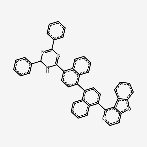 c1ccc(C2=NC(c3ccccc3)NC(c3ccc(-c4ccc(-c5nccc6oc7ccccc7c56)c5ccccc45)c4ccccc34)=N2)cc1